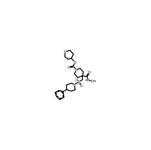 O=C(OC1CCOCC1)N1CCC(CS(=O)(=O)N2CCC(c3ccccc3)CC2)(C(=O)NO)CC1